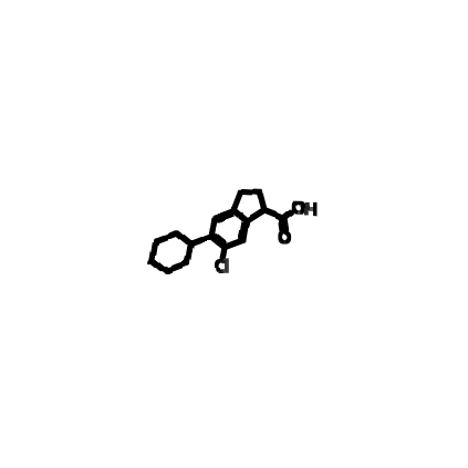 O=C(O)C1CCc2cc(C3CCCCC3)c(Cl)cc21